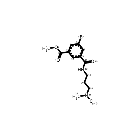 COC(=O)c1cc(Br)cc(C(=O)NCCCN(C)C)c1